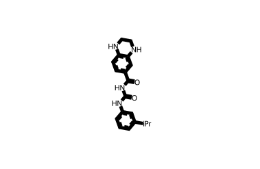 CC(C)c1cccc(NC(=O)NC(=O)c2ccc3c(c2)NCCN3)c1